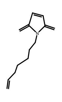 C=CCCCCCn1c(=C)ccc1=C